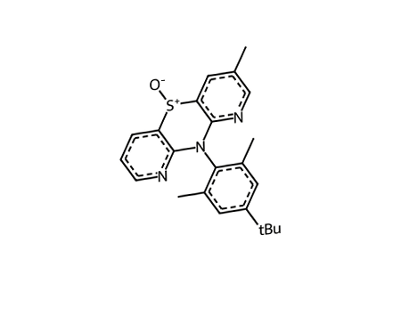 Cc1cnc2c(c1)[S+]([O-])c1cccnc1N2c1c(C)cc(C(C)(C)C)cc1C